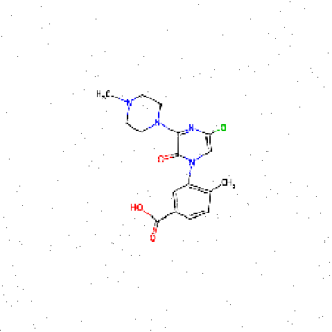 Cc1ccc(C(=O)O)cc1-n1cc(Cl)nc(N2CCN(C)CC2)c1=O